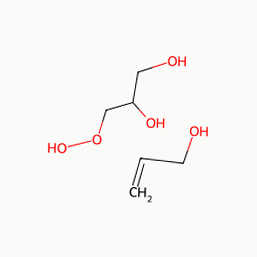 C=CCO.OCC(O)COO